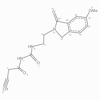 C#CCC(=O)NC(=O)NCCN1Cc2ccc(OC)cc2C1=O